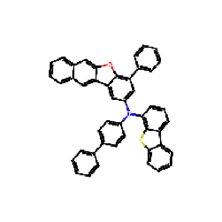 c1ccc(-c2ccc(N(c3cc(-c4ccccc4)c4oc5cc6ccccc6cc5c4c3)c3cccc4c3sc3ccccc34)cc2)cc1